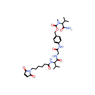 CC(C)C(NC(=O)CCCCCN1C(=O)C=CC1=O)C(=O)NCC(=O)Nc1ccc(COC(=O)N(C)C(C(N)=O)C(C)C)cc1